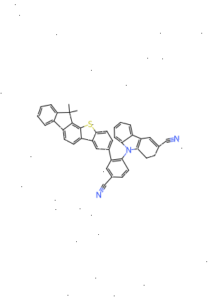 CC1(C)c2ccccc2-c2ccc3c(sc4ccc(-c5cc(C#N)ccc5-n5c6c(c7ccccc75)C=C(C#N)CC6)cc43)c21